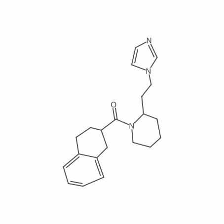 O=C(C1CCc2ccccc2C1)N1CCCCC1CCn1ccnc1